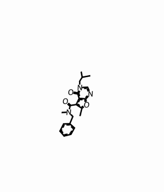 Cc1oc2ncn(CC(C)C)c(=O)c2c1C(=O)N(C)Cc1ccccc1